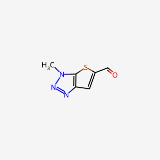 Cn1nnc2cc(C=O)sc21